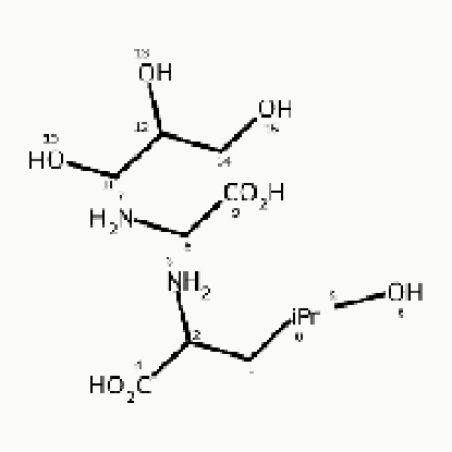 CC(C)CC(N)C(=O)O.CO.NCC(=O)O.OCC(O)CO